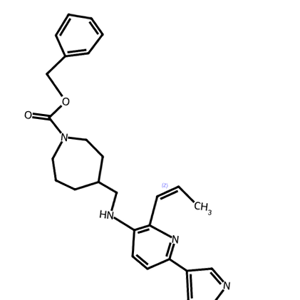 C/C=C\c1nc(-c2cn[nH]c2)ccc1NCC1CCCN(C(=O)OCc2ccccc2)CC1